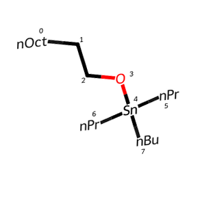 CCCCCCCCCC[O][Sn]([CH2]CC)([CH2]CC)[CH2]CCC